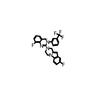 Fc1ccc2c(c1)cc1n2CCN(C2=Nc3c(F)cccc3[C]N2c2cccc(C(F)(F)F)c2)C1